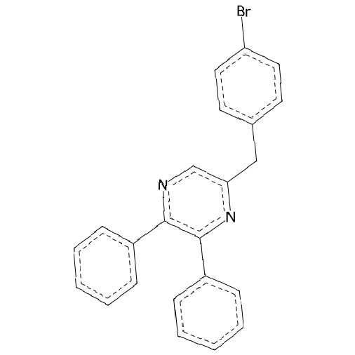 Brc1ccc(Cc2cnc(-c3ccccc3)c(-c3ccccc3)n2)cc1